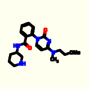 COCCN(C)c1ccn(-c2ccccc2C(=O)NC2CCCNC2)c(=O)n1